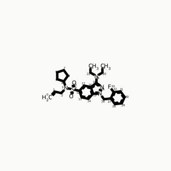 C=CCN(C1CCCC1)S(=O)(=O)c1ccc2c(c1)c(N(CC)CC)nn2Cc1ccccc1F